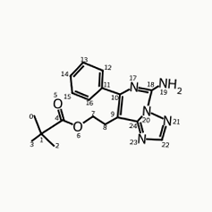 CC(C)(C)C(=O)OCCc1c(-c2ccccc2)nc(N)n2ncnc12